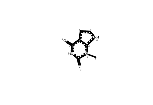 Cn1c(=O)[nH]c(=O)c2cc[nH]c21